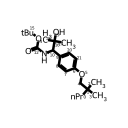 CCCC(C)(C)COc1ccc(C(NC(=O)OC(C)(C)C)C(C)(C)O)cc1